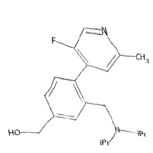 Cc1cc(-c2ccc(CO)cc2CN(C(C)C)C(C)C)c(F)cn1